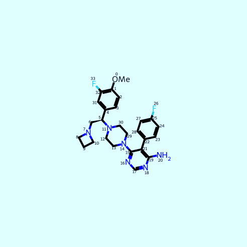 COc1ccc([C@H](CN2CCC2)N2CCN(c3ncnc(N)c3-c3ccc(F)cc3)CC2)cc1F